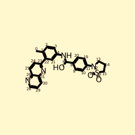 Cc1ccc(NC(O)c2ccc(N3CCCS3(=O)=O)cc2)cc1-c1ccc2ncccc2n1